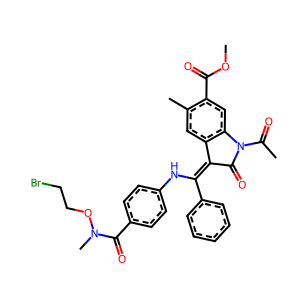 COC(=O)c1cc2c(cc1C)C(=C(Nc1ccc(C(=O)N(C)OCCBr)cc1)c1ccccc1)C(=O)N2C(C)=O